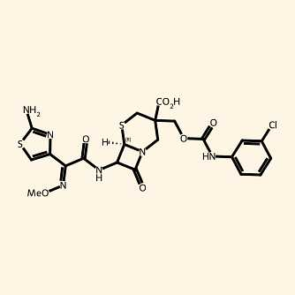 CON=C(C(=O)NC1C(=O)N2CC(COC(=O)Nc3cccc(Cl)c3)(C(=O)O)CS[C@H]12)c1csc(N)n1